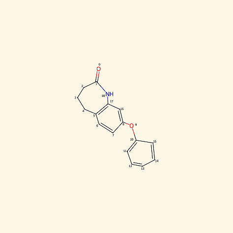 O=C1CCCc2ccc(Oc3ccccc3)cc2N1